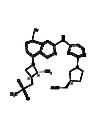 COC[C@@H]1CCN(c2nccc(Nc3cc4c(C(C)C)ccc(N5C[C@H](CS(C)(=O)=O)[C@H]5C)c4cn3)n2)C1